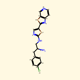 NC(CNc1ncc(-c2nc3ccncc3s2)s1)Cc1ccc(Cl)cc1